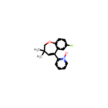 CC1(C)C=C(c2cccc[n+]2[O-])c2cc(F)ccc2OC1